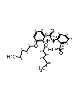 CCCCCOc1cccc(C(=O)Nc2ccccc2C(=O)O)c1OCCCCC